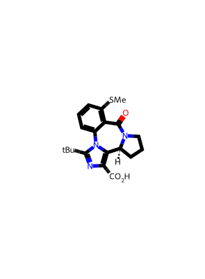 CSc1cccc2c1C(=O)N1CCC[C@H]1c1c(C(=O)O)nc(C(C)(C)C)n1-2